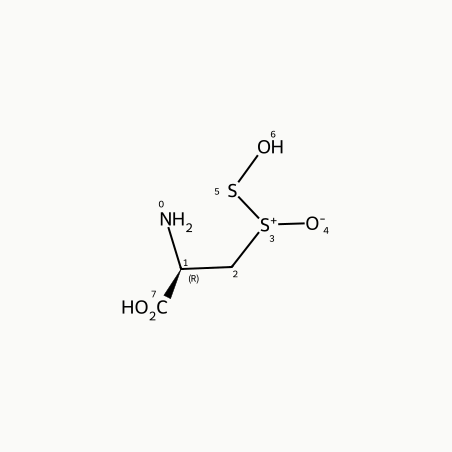 N[C@@H](C[S+]([O-])SO)C(=O)O